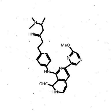 COc1cncc(-c2cc3c(c(Nc4ccc(CCC(=N)CC(C)N(C)C)cc4)n2)C(C=O)NC=C3)n1